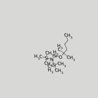 CCCCC(C)(C)O[SiH2]N([Si](C)(C)C)[Si](C)(C)C